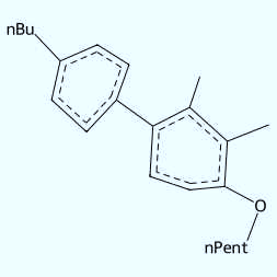 CCCCCOc1ccc(-c2ccc(CCCC)cc2)c(C)c1C